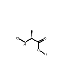 CCOC(=O)[C@H](C)NCl